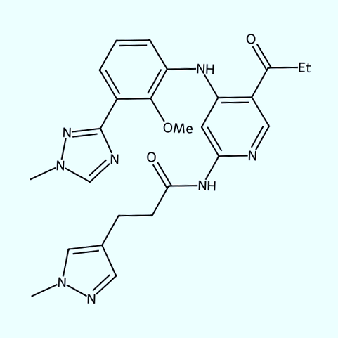 CCC(=O)c1cnc(NC(=O)CCc2cnn(C)c2)cc1Nc1cccc(-c2ncn(C)n2)c1OC